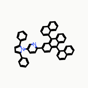 c1ccc(-c2ccc(-c3ccccc3)n2-c2ccc(-c3ccc4c(-c5cccc6ccccc56)c5ccccc5c(-c5cccc6ccccc56)c4c3)nc2)cc1